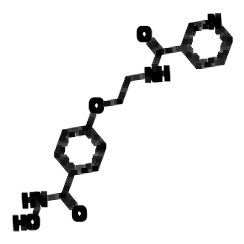 O=C(NO)c1ccc(OCCNC(=O)c2cccnc2)cc1